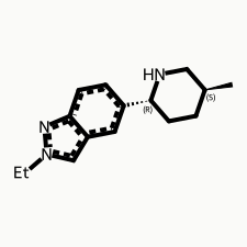 CCn1cc2cc([C@H]3CC[C@H](C)CN3)ccc2n1